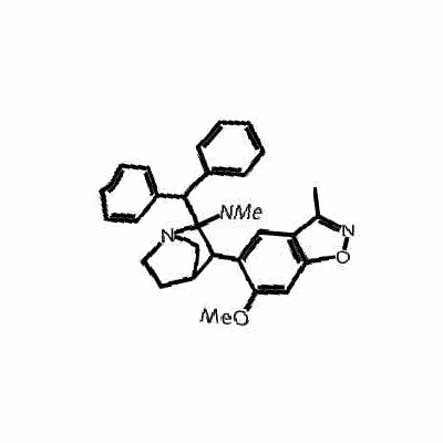 CNC1(C(c2ccccc2)c2ccccc2)C(c2cc3c(C)noc3cc2OC)C2CCN1C2